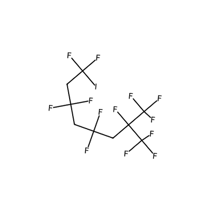 FC(F)(I)CC(F)(F)CC(F)(F)CC(F)(C(F)(F)F)C(F)(F)F